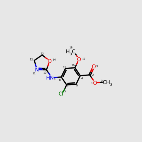 COC(=O)c1cc(Cl)c(NC2=NCCO2)cc1OC